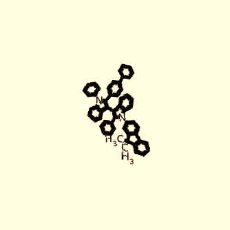 CC1(C)c2ccccc2-c2ccc(-n3c(-c4ccccc4)c(-c4c(-c5ccc(-c6ccccc6)cc5)n(-c5ccccc5)c5ccccc45)c4ccccc43)cc21